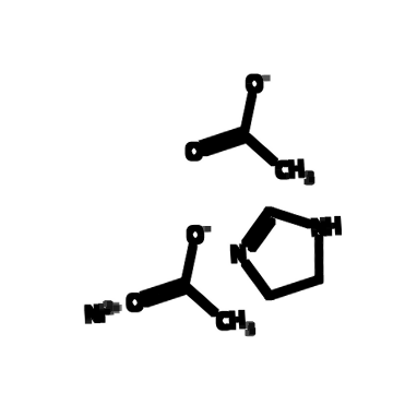 C1=NCCN1.CC(=O)[O-].CC(=O)[O-].[Ni+2]